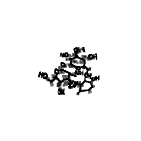 OC1CCCCC1.OC[C@H]1O[C@H](O[C@H]2O[C@H](CO)[C@@H](O)[C@H](O)[C@H]2O)[C@H](O)[C@@H](O)[C@@H]1O